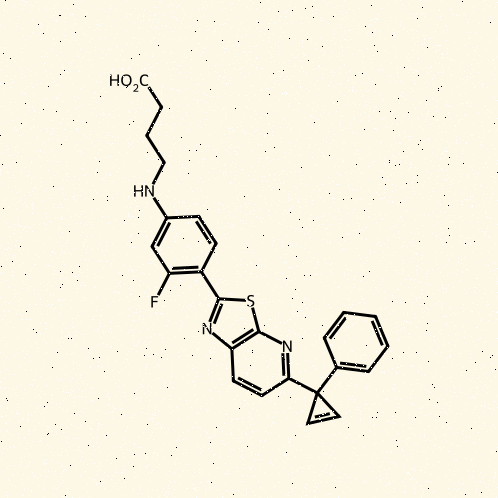 O=C(O)CCCNc1ccc(-c2nc3ccc(C4(c5ccccc5)C=C4)nc3s2)c(F)c1